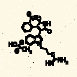 CS(=O)(=O)O.N=C(N)SCCCn1cc(C2=C(c3ccccc3[N+](=O)[O-])C(=O)NC2=O)c2ccccc21